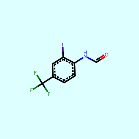 O=CNc1ccc(C(F)(F)F)cc1I